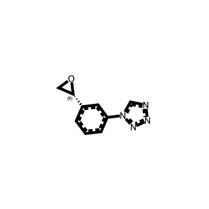 c1cc([C@@H]2CO2)cc(-n2cnnn2)c1